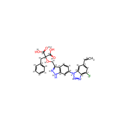 C=Cc1cc(F)c2nnn(-c3ccc4c(COC(Cc5ccccc5)(C(=O)O)C(=O)O)n[nH]c4c3)c2c1